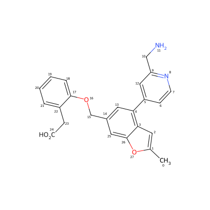 Cc1cc2c(-c3ccnc(CN)c3)cc(COc3ccccc3CC(=O)O)cc2o1